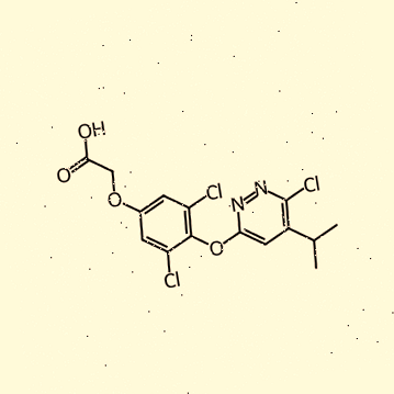 CC(C)c1cc(Oc2c(Cl)cc(OCC(=O)O)cc2Cl)nnc1Cl